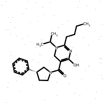 CCCCC1=NC(O)=C(C(=O)N2CC[C@H](c3ccccc3)C2)CN1C(C)C